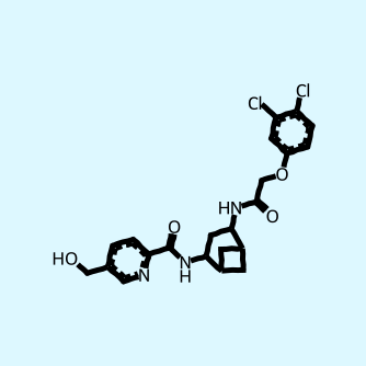 O=C(COc1ccc(Cl)c(Cl)c1)NC1CC(NC(=O)c2ccc(CO)cn2)C2CC1C2